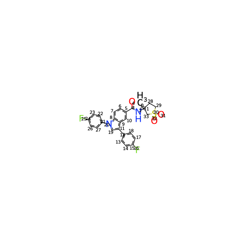 C[C@]1(NC(=O)c2ccc3c(c2)c(-c2ccc(F)cc2)cn3-c2ccc(F)cc2)CCS(=O)(=O)C1